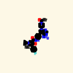 CC(C)C(=O)N1CCC(n2cc(-c3ccc(NC(=O)c4cn(C5CC5)c(C#N)c(-c5ccc(F)cc5)c4=O)cc3)c3c(N)ncnc32)CC1